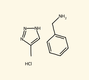 Cc1c[nH]nn1.Cl.NCc1ccccc1